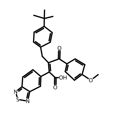 COc1ccc(C(=O)C(Cc2ccc(C(C)(C)C)cc2)=C(C(=O)O)c2ccc3nsnc3c2)cc1